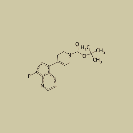 CC(C)(C)OC(=O)N1CC=C(c2ccc(F)c3ncccc23)CC1